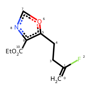 C=C(F)CCc1ocnc1C(=O)OCC